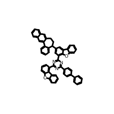 c1ccc(-c2ccc(-c3nc(-c4cc(C5CCc6cc7ccccc7cc6-c6ccccc65)cc5c4oc4ccccc45)nc(-c4cccc5oc6ccccc6c45)n3)cc2)cc1